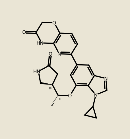 C[C@@H](Oc1cc(-c2ccc3c(n2)NC(=O)CO3)cc2ncn(C3CC3)c12)[C@H]1CNC(=O)C1